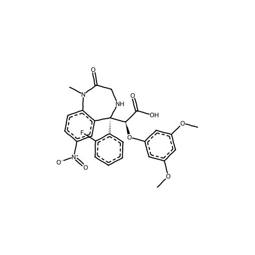 COc1cc(OC)cc(O[C@H](C(=O)O)[C@]2(c3ccccc3F)NCC(=O)N(C)c3ccc([N+](=O)[O-])cc32)c1